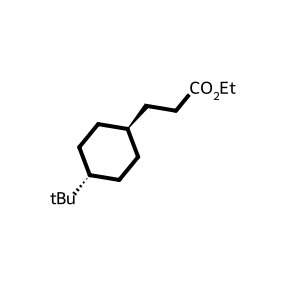 CCOC(=O)CC[C@H]1CC[C@H](C(C)(C)C)CC1